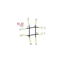 FC1(F)C(F)(F)C(F)(F)C1(F)F.O